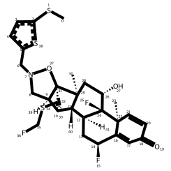 CSc1ccc(CN2C[C@@H]3C[C@H]4[C@@H]5C[C@H](F)C6=CC(=O)C=C[C@]6(C)[C@@]5(F)[C@@H](O)C[C@]4(C)[C@]3(C(=O)SCF)O2)s1